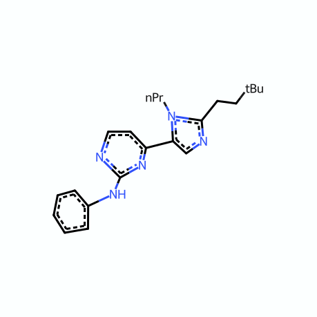 CCCn1c(-c2ccnc(Nc3ccccc3)n2)cnc1CCC(C)(C)C